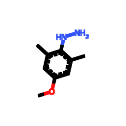 COc1cc(C)c(NN)c(C)c1